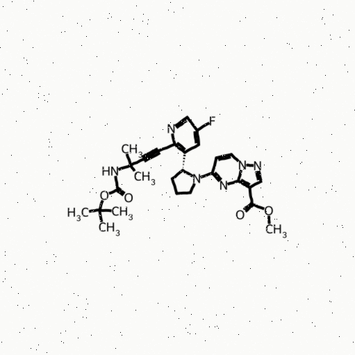 COC(=O)c1cnn2ccc(N3CCC[C@@H]3c3cc(F)cnc3C#CC(C)(C)NC(=O)OC(C)(C)C)nc12